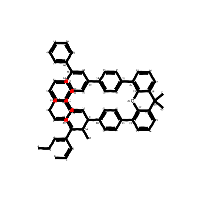 C/C=C\C(=C/CC)C1=NC(c2ccccc2)=CC(c2ccc(-c3cccc4c3Oc3c(-c5ccc(-c6cc(C7=CC=CCC7)nc(-c7ccccc7)c6)cc5)cccc3C4(C)C)cc2)C1C